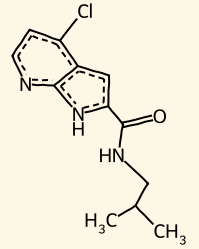 CC(C)CNC(=O)c1cc2c(Cl)ccnc2[nH]1